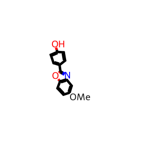 COc1ccc2oc(-c3ccc(O)cc3)nc2c1